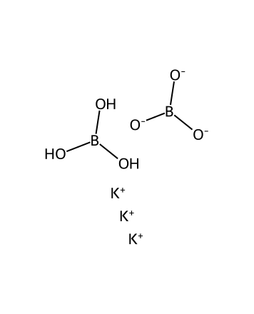 OB(O)O.[K+].[K+].[K+].[O-]B([O-])[O-]